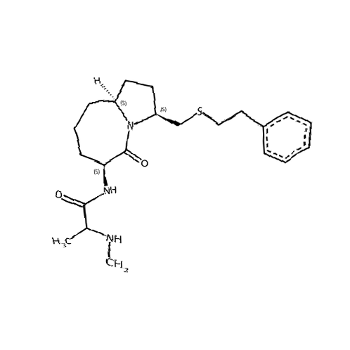 CNC(C)C(=O)N[C@H]1CCC[C@H]2CC[C@@H](CSCCc3ccccc3)N2C1=O